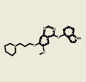 COc1cc2c(Oc3cccc4[nH]ccc34)ncnc2cc1OCCCN1CCCCC1